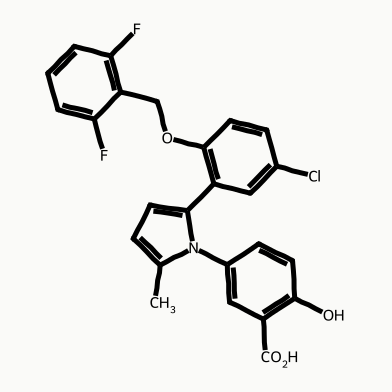 Cc1ccc(-c2cc(Cl)ccc2OCc2c(F)cccc2F)n1-c1ccc(O)c(C(=O)O)c1